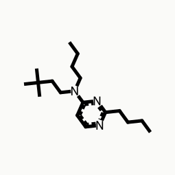 CCCCc1nccc(N(CCCC)CCC(C)(C)C)n1